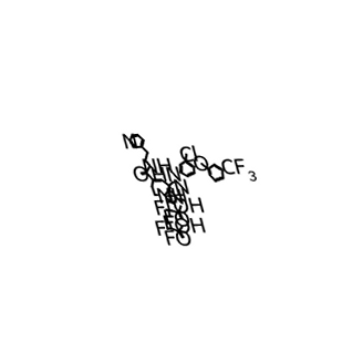 O=C(NCCc1cccnc1)C1=Cc2c(ncnc2Nc2ccc(Oc3cccc(C(F)(F)F)c3)c(Cl)c2)NCC1.O=C(O)C(F)(F)F.O=C(O)C(F)(F)F